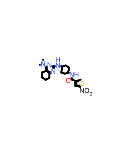 CN(C)c1nc(NC2CCC(NC(=O)c3csc([N+](=O)[O-])c3)CC2)nc2c1CCCC2